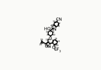 N#Cc1ccc2nc(C3(O)CCC(OCc4c(-c5ccccc5OC(F)(F)F)noc4C4CC4)CC3)sc2c1